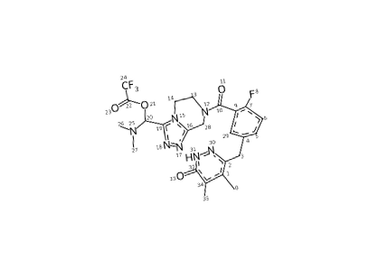 Cc1c(Cc2ccc(F)c(C(=O)N3CCn4c(nnc4C(OC(=O)C(F)(F)F)N(C)C)C3)c2)n[nH]c(=O)c1C